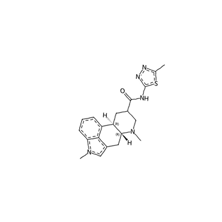 Cc1nnc(NC(=O)C2C[C@@H]3c4cccc5c4c(cn5C)C[C@H]3N(C)C2)s1